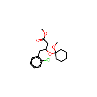 COC(=O)CC(Cc1ccccc1Cl)OC1(OC)CCCCC1